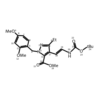 CCc1nn(Cc2ccc(OC)cc2OC)c(C(=O)OC)c1/C=C/NC(=O)OC(C)(C)C